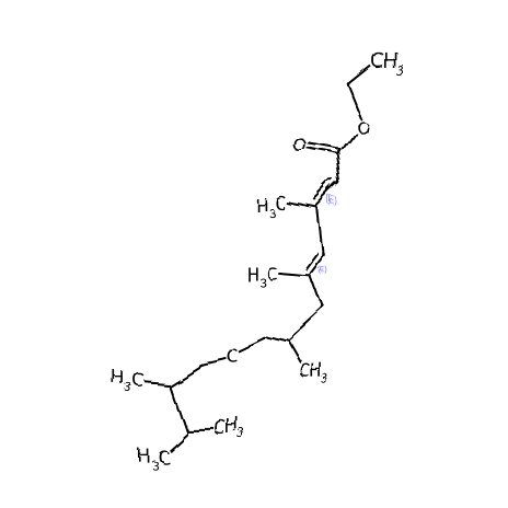 CCOC(=O)/C=C(C)/C=C(\C)CC(C)CCCC(C)C(C)C